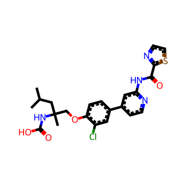 CC(C)CC(C)(COc1ccc(-c2ccnc(NC(=O)c3nccs3)c2)cc1Cl)NC(=O)O